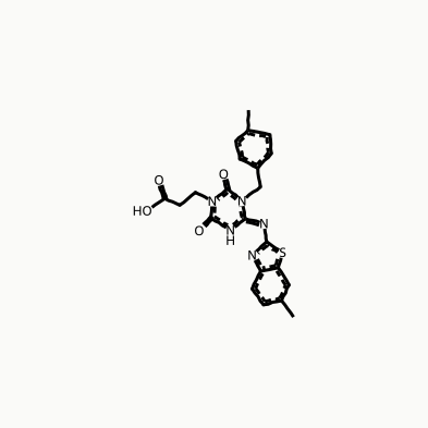 Cc1ccc(Cn2c(=O)n(CCC(=O)O)c(=O)[nH]/c2=N\c2nc3ccc(C)cc3s2)cc1